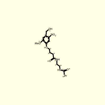 COc1cc(CO)c([N+](=O)[O-])cc1OCCCC(=O)NCCNC(=O)C(C)C